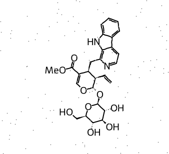 C=C[C@H]1[C@H](O[C@@H]2O[C@H](CO)[C@@H](O)[C@H](O)[C@H]2O)OC=C(C(=O)OC)[C@H]1Cc1nccc2c1[nH]c1ccccc12